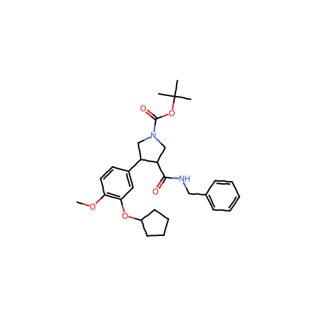 COc1ccc(C2CN(C(=O)OC(C)(C)C)CC2C(=O)NCc2ccccc2)cc1OC1CCCC1